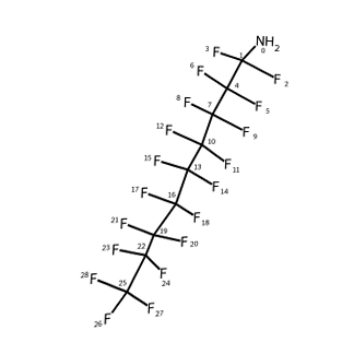 NC(F)(F)C(F)(F)C(F)(F)C(F)(F)C(F)(F)C(F)(F)C(F)(F)C(F)(F)C(F)(F)F